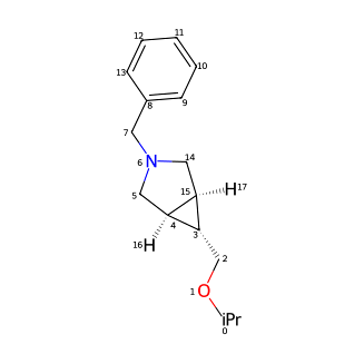 CC(C)OC[C@@H]1[C@H]2CN(Cc3ccccc3)C[C@@H]12